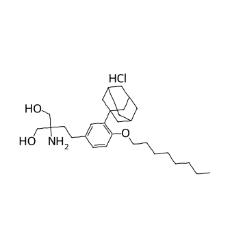 CCCCCCCCOc1ccc(CCC(N)(CO)CO)cc1C12CC3CC(CC(C3)C1)C2.Cl